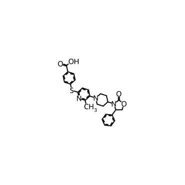 Cc1nc(Sc2ccc(C(=O)O)cc2)ccc1N1CCC(N2C(=O)OCC2c2ccccc2)CC1